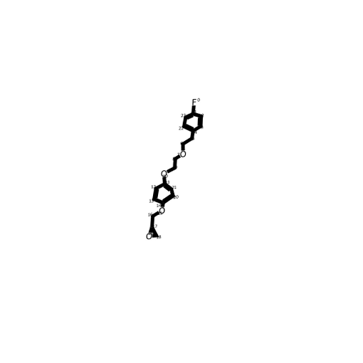 Fc1ccc(CCOCCOc2ccc(OCC3CO3)cc2)cc1